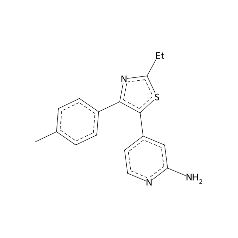 CCc1nc(-c2ccc(C)cc2)c(-c2ccnc(N)c2)s1